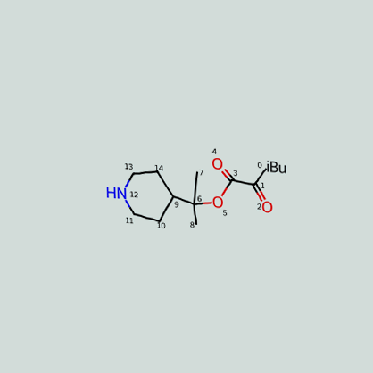 CCC(C)C(=O)C(=O)OC(C)(C)C1CCNCC1